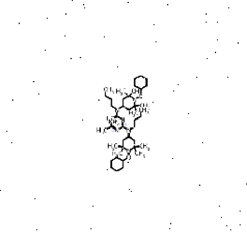 C=C(/N=C(\N=C(\C)N)N(CCCC)C1CC(C)(C)N(OC2CCCCC2)C(C)(C)C1)N(CCCC)C1CC(C)(C)N(OC2CCCCC2)C(C)(C)C1